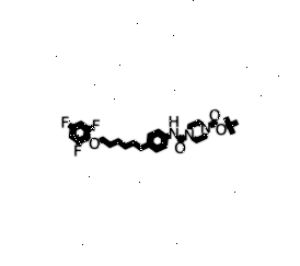 CC(C)(C)OC(=O)N1CCN(C(=O)Nc2ccc(CCCCCCOc3c(F)cc(F)cc3F)cc2)CC1